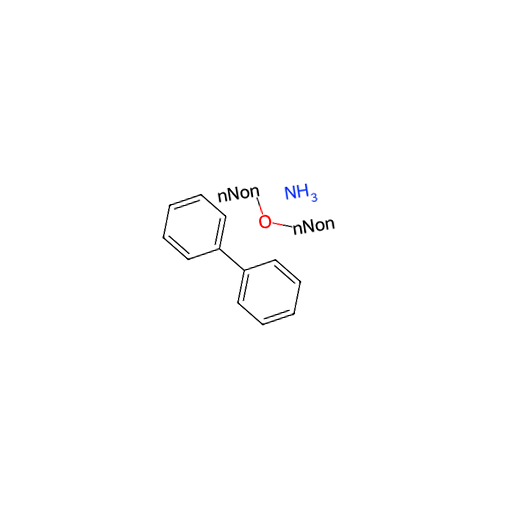 CCCCCCCCCOCCCCCCCCC.N.c1ccc(-c2ccccc2)cc1